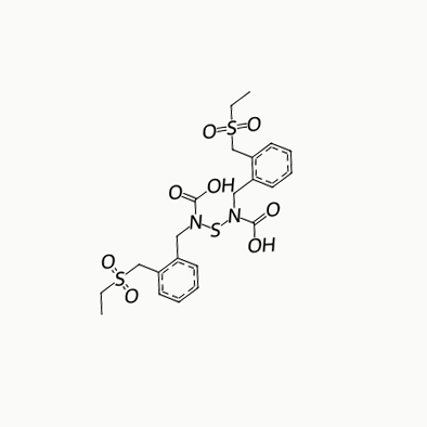 CCS(=O)(=O)Cc1ccccc1CN(SN(Cc1ccccc1CS(=O)(=O)CC)C(=O)O)C(=O)O